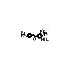 CC(CO)Nc1c(N)cc(C(=O)Cc2ccc(OC(F)(F)Cl)cc2)cc1Br